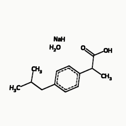 CC(C)Cc1ccc(C(C)C(=O)O)cc1.O.[NaH]